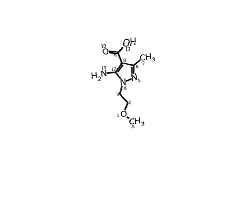 COCCn1nc(C)c(C(=O)O)c1N